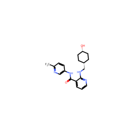 O=C(Nc1ccc(C(F)(F)F)nc1)c1cccnc1NC[C@H]1CC[C@@H](O)CC1